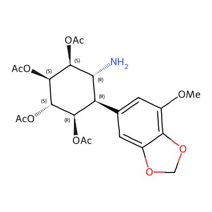 COc1cc([C@@H]2[C@@H](N)[C@H](OC(C)=O)[C@H](OC(C)=O)[C@@H](OC(C)=O)[C@@H]2OC(C)=O)cc2c1OCO2